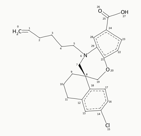 C=CCCCCN1C[C@@]2(CCCc3cc(Cl)ccc32)COc2ccc(C(=O)O)cc21